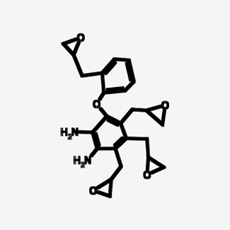 Nc1c(N)c(Oc2ccccc2CC2CO2)c(CC2CO2)c(CC2CO2)c1CC1CO1